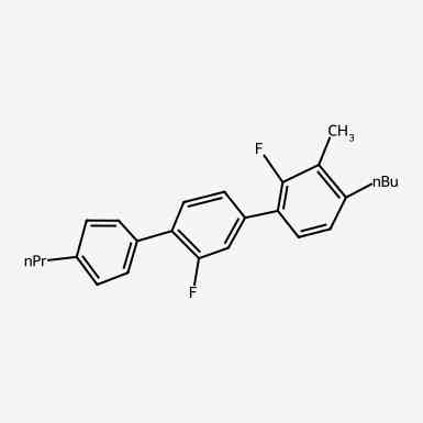 CCCCc1ccc(-c2ccc(-c3ccc(CCC)cc3)c(F)c2)c(F)c1C